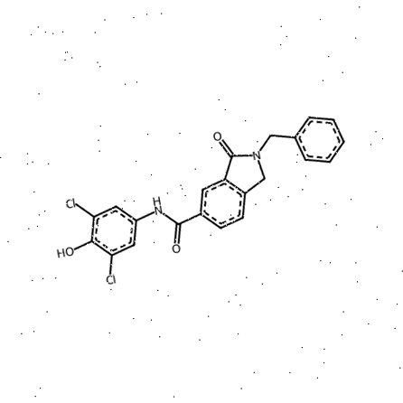 O=C(Nc1cc(Cl)c(O)c(Cl)c1)c1ccc2c(c1)C(=O)N(Cc1ccccc1)C2